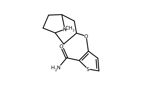 CN1C2CCC1CC(Oc1ccsc1C(N)=O)C2